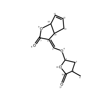 CC1CC(O/C=C2/C(=O)OC3C=CCC23)OC1=O